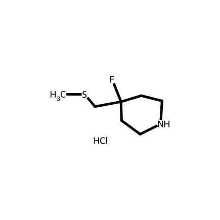 CSCC1(F)CCNCC1.Cl